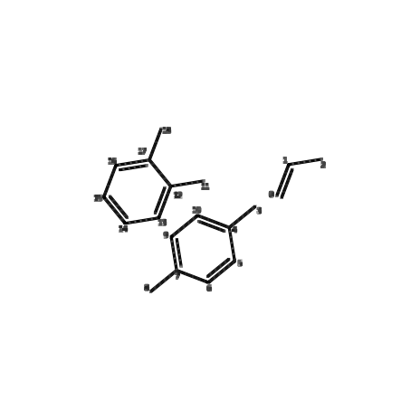 C=CC.Cc1ccc(C)cc1.Cc1ccccc1C